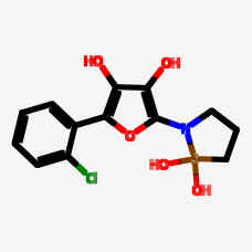 Oc1c(-c2ccccc2Cl)oc(N2CCCS2(O)O)c1O